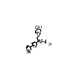 N[C@H](CCN1CCC(O)CC1)c1ccc(-c2ccnnc2)nc1